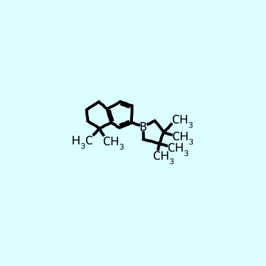 CC1(C)CCCc2ccc(B3CC(C)(C)C(C)(C)C3)cc21